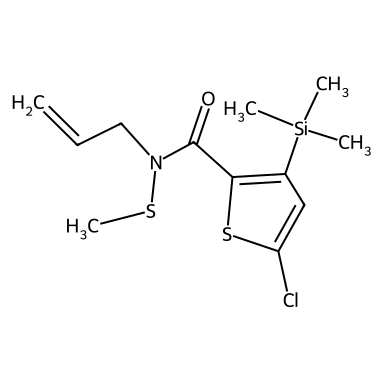 C=CCN(SC)C(=O)c1sc(Cl)cc1[Si](C)(C)C